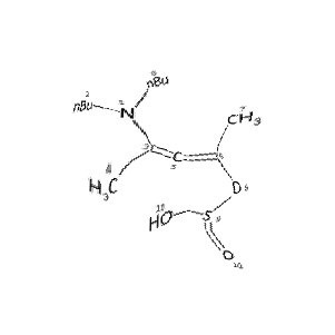 CCCCN(CCCC)C(C)=C=C(C)OS(=O)O